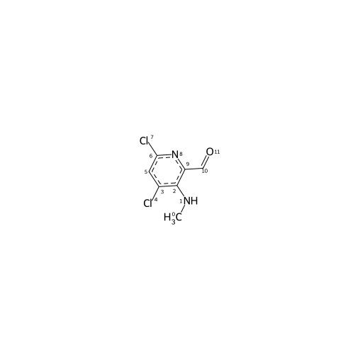 CNc1c(Cl)cc(Cl)nc1C=O